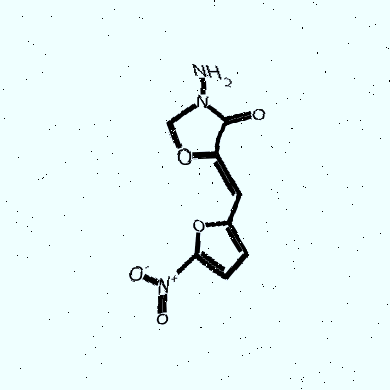 NN1COC(=Cc2ccc([N+](=O)[O-])o2)C1=O